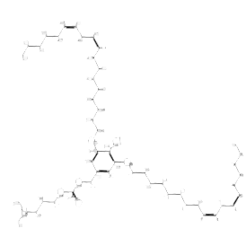 CCCCC/C=C\C/C=C\CCCCCCCCOc1cc(COC(=O)OCCCN(C)C)cc(OCCCCCCCC/C=C\C/C=C\CCCCC)c1Cl